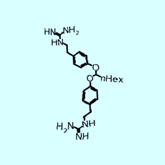 CCCCCCC(Oc1ccc(CCNC(=N)N)cc1)Oc1ccc(CCNC(=N)N)cc1